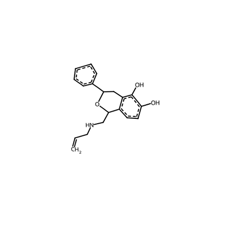 C=CCNCC1OC(c2ccccc2)Cc2c1ccc(O)c2O